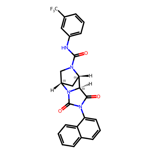 O=C1[C@@H]2[C@@H]3C[C@@H](CN3C(=O)Nc3cccc(C(F)(F)F)c3)N2C(=O)N1c1cccc2ccccc12